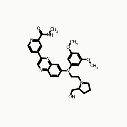 CNC(=O)c1cc(-c2cnc3ccc(N(CCN4CCCC4CO)c4cc(OC)cc(OC)c4)cc3n2)ccn1